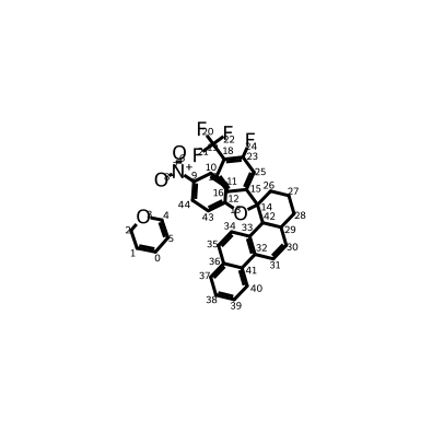 C1=CCOC=C1.O=[N+]([O-])c1ccc(OC2(c3ccc(C(F)(F)F)c(F)c3)CCCC3C=Cc4c(ccc5ccccc45)C32)cc1